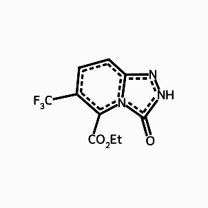 CCOC(=O)c1c(C(F)(F)F)ccc2n[nH]c(=O)n12